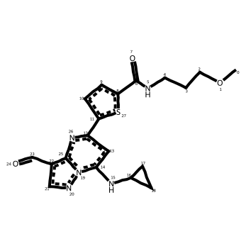 COCCCNC(=O)c1ccc(-c2cc(NC3CC3)n3ncc(C=O)c3n2)s1